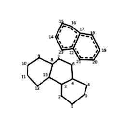 C1CCC2C(C1)CCC1CCCCC12.c1ccc2ccccc2c1